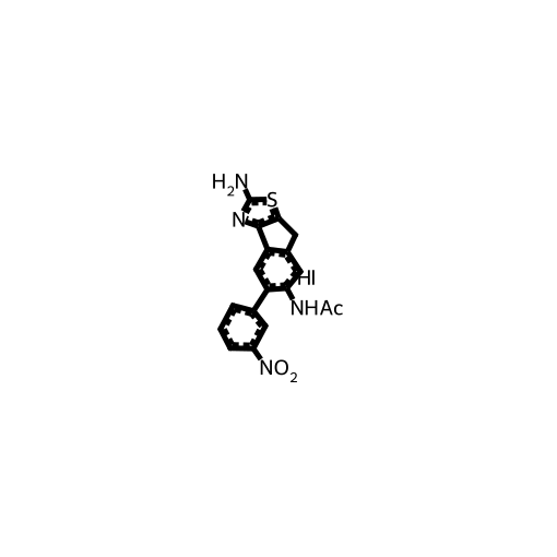 CC(=O)Nc1cc2c(cc1-c1cccc([N+](=O)[O-])c1)-c1nc(N)sc1C2.I